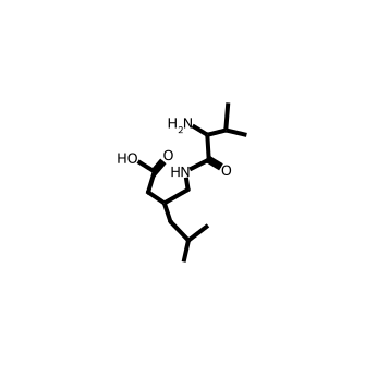 CC(C)CC(CNC(=O)C(N)C(C)C)CC(=O)O